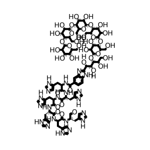 O=C[C@H](Cc1cnc[nH]1)NC(=O)C(Cc1cnc[nH]1)NC(=O)[C@H](Cc1cnc[nH]1)NC(=O)C(Cc1cnc[nH]1)NC(=O)[C@H](Cc1cnc[nH]1)NC(=O)C(Cc1cnc[nH]1)NC(=O)c1ccc2[nH]c(C(O)[C@@H](O)[C@H](O[C@H]3OC(CO)[C@@H](O[C@H]4OC(CO)[C@@H](O[C@H]5OC(CO)[C@@H](O[C@H]6OC(CO)[C@@H](O[C@H]7OC(CO)[C@@H](O)[C@H](O)C7O)[C@H](O)C6O)[C@H](O)C5O)[C@H](O)C4O)[C@H](O)C3O)C(O)CO)nc2c1